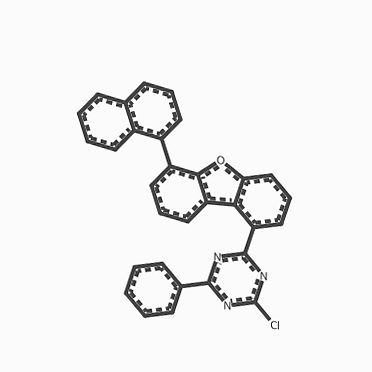 Clc1nc(-c2ccccc2)nc(-c2cccc3oc4c(-c5cccc6ccccc56)cccc4c23)n1